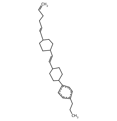 C=CCCC=CC1CCC(C=CC2CCC(c3ccc(CCC)cc3)CC2)CC1